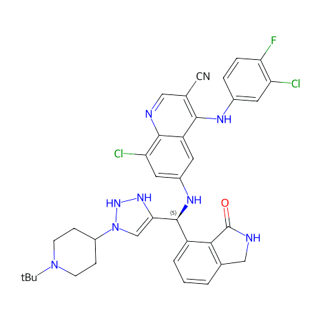 CC(C)(C)N1CCC(N2C=C([C@@H](Nc3cc(Cl)c4ncc(C#N)c(Nc5ccc(F)c(Cl)c5)c4c3)c3cccc4c3C(=O)NC4)NN2)CC1